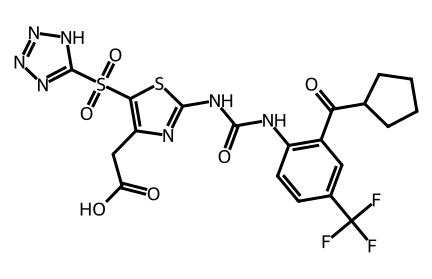 O=C(O)Cc1nc(NC(=O)Nc2ccc(C(F)(F)F)cc2C(=O)C2CCCC2)sc1S(=O)(=O)c1nnn[nH]1